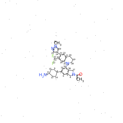 CC(=O)N1Cc2cc(C3CCC(N)CC3)cc(N3CCCc4cc(-c5cnn(C)c5)c(C(F)F)cc43)c2C1